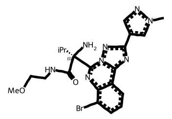 COCCNC(=O)[C@@](N)(c1nc2c(Br)cccc2c2nc(-c3cnn(C)c3)nn12)C(C)C